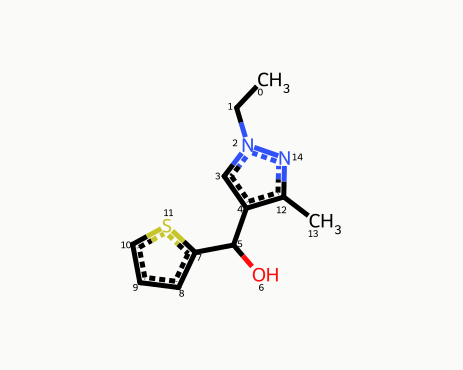 CCn1cc(C(O)c2cccs2)c(C)n1